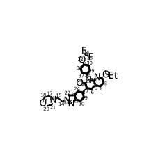 CCOc1ccc2cc(-c3ccc4nn(CCN5CCOCC5)cc4c3)c(=O)n(-c3ccc(OC(F)F)cc3)c2n1